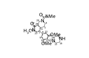 CNC(=O)N1CCc2c(-c3cc(OC)c(CN4CCNCC4)c(OC)c3)cn(C)c(=O)c2C1